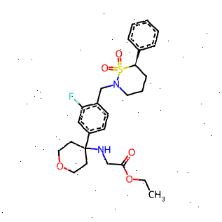 CCOC(=O)CNC1(c2ccc(CN3CCC[C@H](c4ccccc4)S3(=O)=O)c(F)c2)CCOCC1